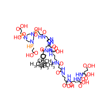 CC(C)(C)[SiH](c1ccc(C(=O)NC[C@H](C(=O)N[C@@H](CCCCNC(=O)CCC(=O)NCCC[C@@H](NC(=O)CC[C@H](NC(=O)N[C@@H](CCC(=O)O)C(=O)O)C(=O)O)C(=O)O)C(=O)O)n2cc(CNC(=O)CCP(=O)(O)CN3CCN(CPCCC(=O)O)CCN(CP(=O)(O)CCC(=O)O)CC3)nn2)cc1)C(C)(C)C